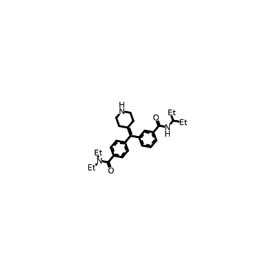 CCC(CC)NC(=O)c1cccc(C(=C2CCNCC2)c2ccc(C(=O)N(CC)CC)cc2)c1